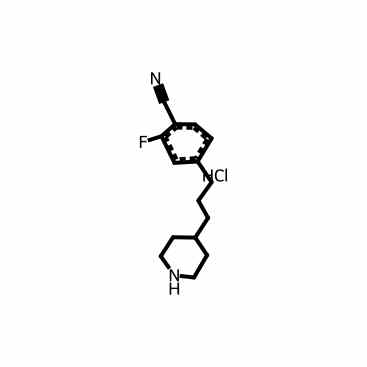 Cl.N#Cc1ccc(CCCC2CCNCC2)cc1F